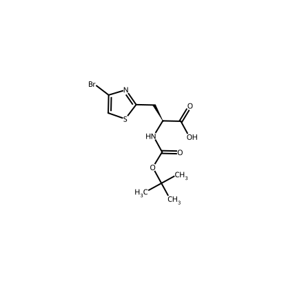 CC(C)(C)OC(=O)N[C@@H](Cc1nc(Br)cs1)C(=O)O